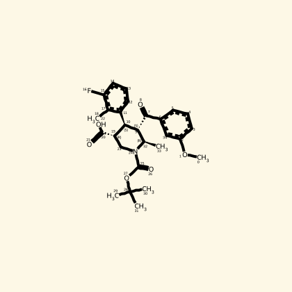 COc1cccc(C(=O)[C@H]2[C@H](c3cccc(F)c3C)[C@@H](C(=O)O)CN(C(=O)OC(C)(C)C)[C@@H]2C)c1